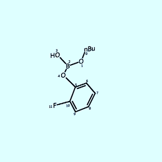 CCCCOB(O)Oc1ccccc1F